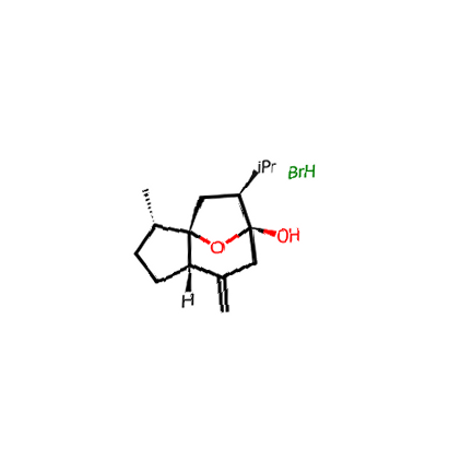 Br.C=C1C[C@]2(O)O[C@@]3(C[C@H]2C(C)C)[C@@H](C)CC[C@@H]13